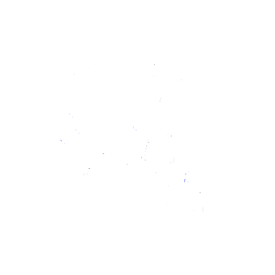 CCCCOc1ccc(F)cc1CCn1c(=O)n(C(C)(C)C(=O)NC(C)C)c(=O)c2c(C)c(-n3nccn3)sc21